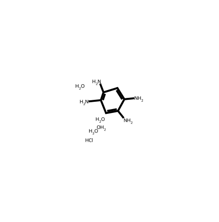 Cl.Nc1cc(N)c(N)cc1N.O.O.O.O